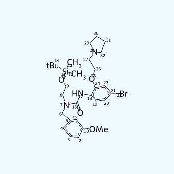 COc1cccc(CN(CCO[Si](C)(C)C(C)(C)C)C(=O)Nc2ccc(Br)cc2OCCN2CCCC2)c1